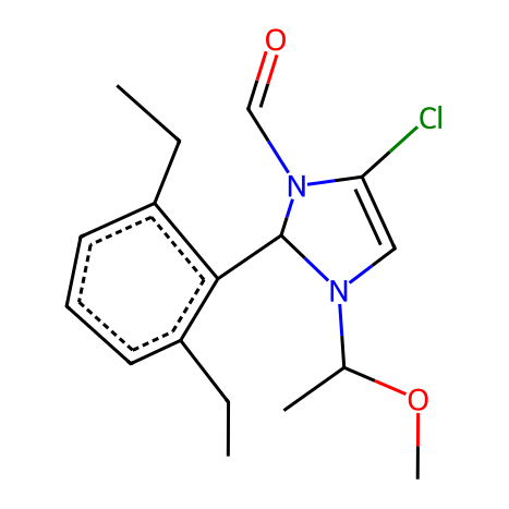 CCc1cccc(CC)c1C1N(C=O)C(Cl)=CN1C(C)OC